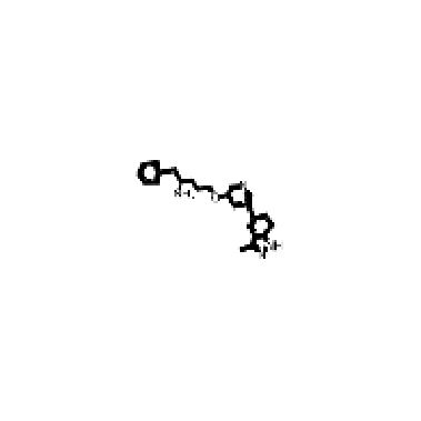 Cc1n[nH]c2ccc(-c3cncc(OCCC[C@@H](N)Cc4ccccc4)c3)cc12